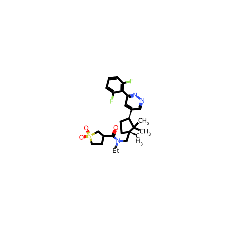 CCN(C[C@]1(C)CC[C@@H](c2cnnc(-c3c(F)cccc3F)c2)C1(C)C)C(=O)C1CCS(=O)(=O)C1